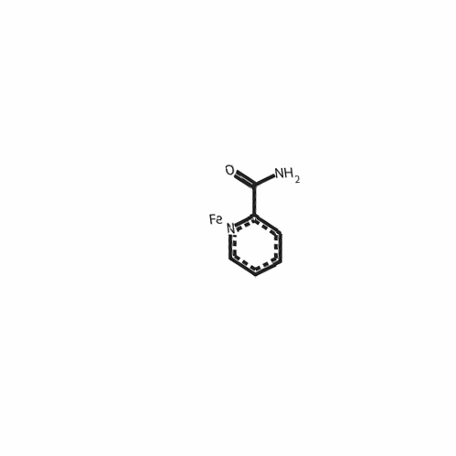 NC(=O)c1ccccn1.[Fe]